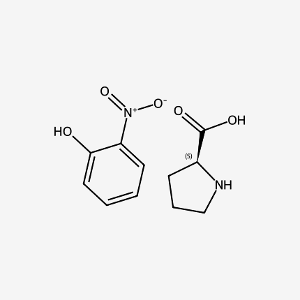 O=C(O)[C@@H]1CCCN1.O=[N+]([O-])c1ccccc1O